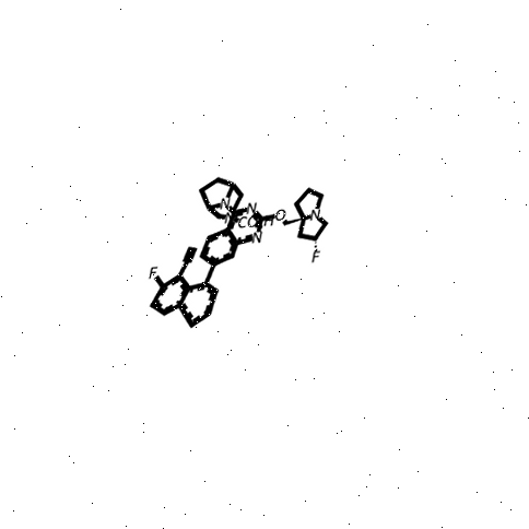 C#Cc1c(F)ccc2cccc(-c3ccc4c(N5C6CCC5CN(C(=O)O)C6)nc(OC[C@@]56CCCN5C[C@H](F)C6)nc4c3)c12